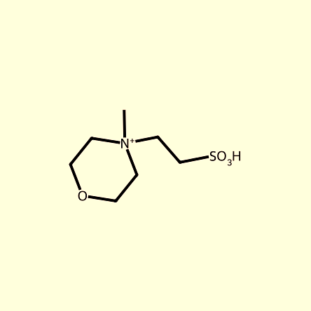 C[N+]1(CCS(=O)(=O)O)CCOCC1